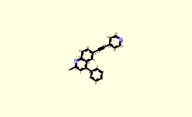 Cc1cc(-c2ccccc2)c2cc(C#Cc3ccncc3)ccc2n1